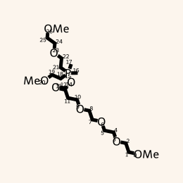 COCCOCCOCCOCCC(=O)OP(C)(C)(CCOC)CCOCCOC